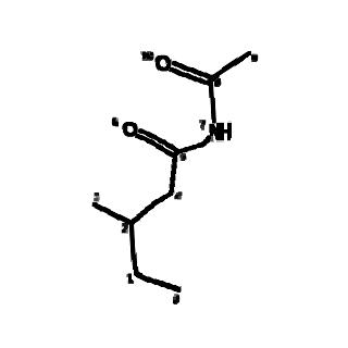 CCC(C)CC(=O)NC(C)=O